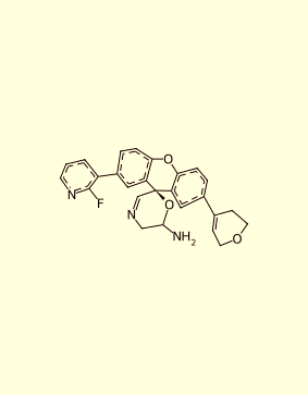 NC1CN=C[C@@]2(O1)c1cc(C3=CCOCC3)ccc1Oc1ccc(-c3cccnc3F)cc12